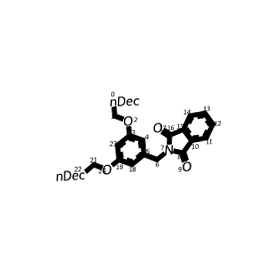 CCCCCCCCCCCOc1cc(CN2C(=O)c3ccccc3C2=O)cc(OCCCCCCCCCCC)c1